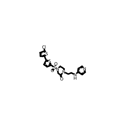 O=C1CN(S(=O)(=O)c2ccc(-c3ccc(Cl)s3)s2)CCN1CCNc1ccncc1